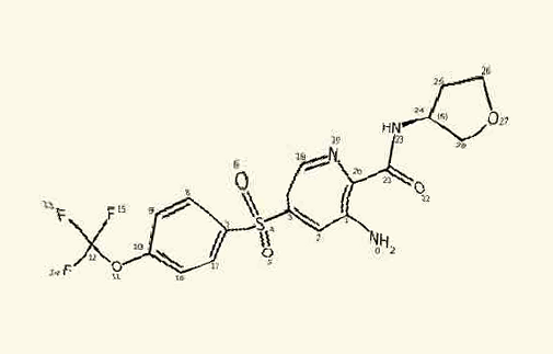 Nc1cc(S(=O)(=O)c2ccc(OC(F)(F)F)cc2)cnc1C(=O)N[C@H]1CCOC1